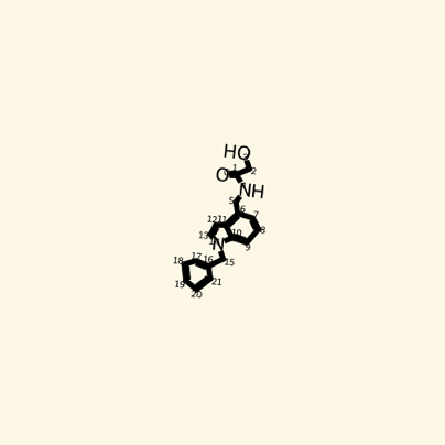 O=C(CO)NCc1cccc2c1ccn2Cc1ccccc1